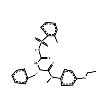 CCOc1ccc(N(C)C(=O)[C@H](Cc2ccccc2)NC(=O)NS(=O)(=O)c2ccccc2C)cc1